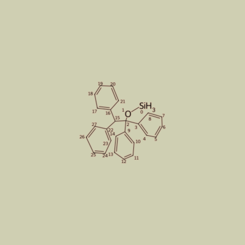 [SiH3]OC(c1ccccc1)(c1ccccc1)C(c1ccccc1)c1ccccc1